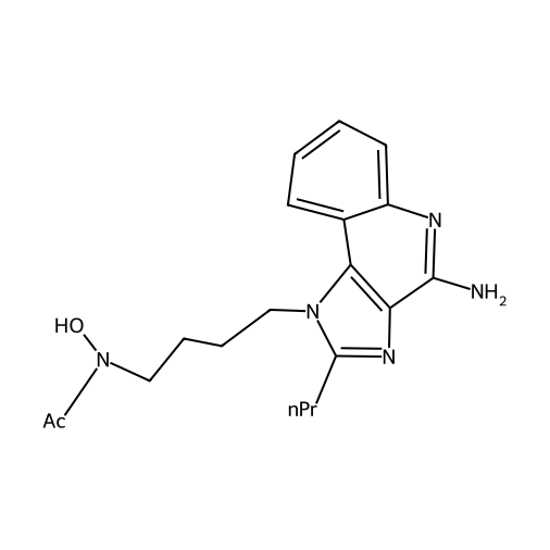 CCCc1nc2c(N)nc3ccccc3c2n1CCCCN(O)C(C)=O